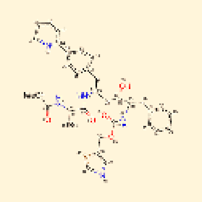 COC(=O)N[C@H](C(=O)N[C@@H](Cc1ccc(-c2ccccn2)cc1)C[C@H](O)[C@H](Cc1ccccc1)NC(=O)OCc1cncs1)C(C)(C)C